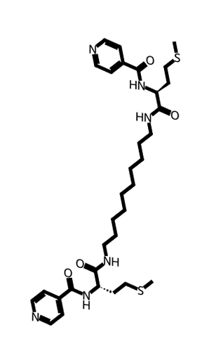 CSCC[C@H](NC(=O)c1ccncc1)C(=O)NCCCCCCCCCCNC(=O)[C@H](CCSC)NC(=O)c1ccncc1